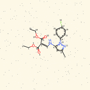 CCOC(=O)C(=CNc1cc(C)nn1-c1ccc(F)cc1)C(=O)OCC